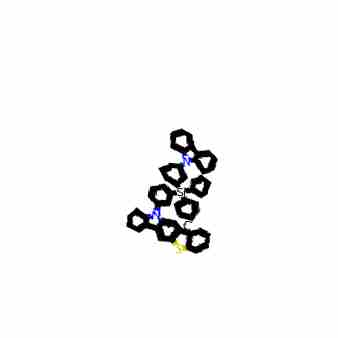 C[C@]12C=CC=CC1Sc1cc3c4ccccc4n(-c4cccc([Si](c5ccccc5)(c5ccccc5)c5cccc(-n6c7ccccc7c7ccccc76)c5)c4)c3cc12